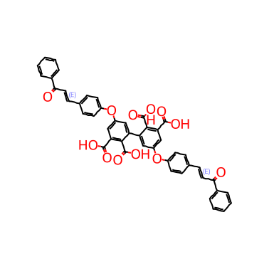 O=C(/C=C/c1ccc(Oc2cc(C(=O)O)c(C(=O)O)c(-c3cc(Oc4ccc(/C=C/C(=O)c5ccccc5)cc4)cc(C(=O)O)c3C(=O)O)c2)cc1)c1ccccc1